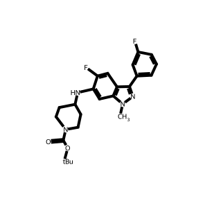 Cn1nc(-c2cccc(F)c2)c2cc(F)c(NC3CCN(C(=O)OC(C)(C)C)CC3)cc21